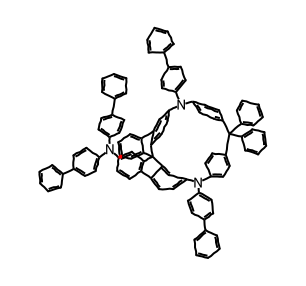 c1ccc(-c2ccc(N3c4ccc(cc4)C(c4ccccc4)(c4ccccc4)c4ccc(cc4)N(c4ccc(-c5ccccc5)cc4)c4ccc5c(c4)C4(c6ccccc6-c6cc3ccc64)c3cc(N(c4ccc(-c6ccccc6)cc4)c4ccc(-c6ccccc6)cc4)ccc3-5)cc2)cc1